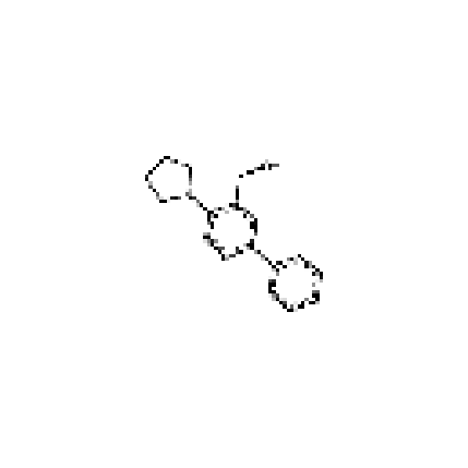 OCc1cc(-c2ccccc2)ncc1N1CCCC1